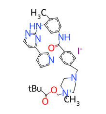 Cc1ccc(NC(=O)c2ccc(CN3CC[N+](C)(COC(=O)C(C)(C)C)CC3)cc2)cc1Nc1nccc(-c2cccnc2)n1.[I-]